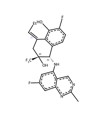 CC/C=C1/C[C@](O)(C(F)(F)F)[C@@H](Nc2cc(F)cc3nc(C)ncc23)c2ccc(F)c(O)c21